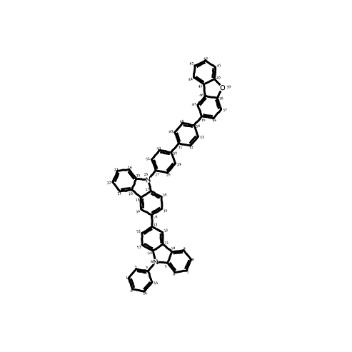 c1ccc(-n2c3ccccc3c3cc(-c4ccc5c(c4)c4ccccc4n5-c4ccc(-c5ccc(-c6ccc7oc8ccccc8c7c6)cc5)cc4)ccc32)cc1